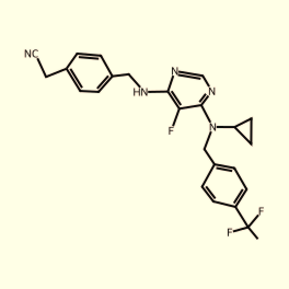 CC(F)(F)c1ccc(CN(c2ncnc(NCc3ccc(CC#N)cc3)c2F)C2CC2)cc1